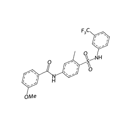 COc1cccc(C(=O)Nc2ccc(S(=O)(=O)Nc3cccc(C(F)(F)F)c3)c(C)c2)c1